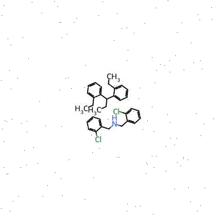 CCc1ccccc1C(CC)c1ccccc1CC.Clc1ccccc1CNCc1ccccc1Cl